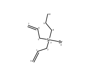 C=CC[Si](Br)(CC=C)CCC